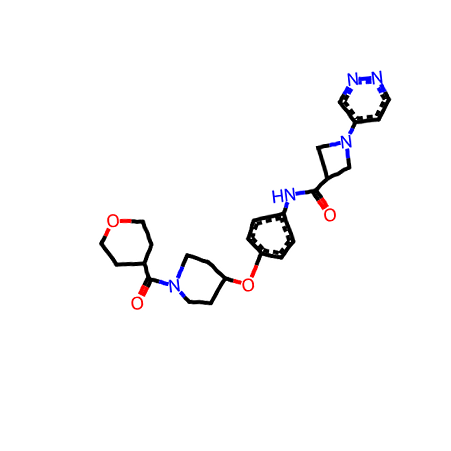 O=C(Nc1ccc(OC2CCN(C(=O)C3CCOCC3)CC2)cc1)C1CN(c2ccnnc2)C1